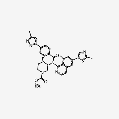 Cc1ncc(-c2cc(C)c3c(N(C(=O)c4ccc(-c5nnc(C)s5)cc4F)[C@@H]4CCCN(C(=O)OC(C)(C)C)C4)nccc3c2)s1